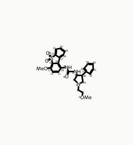 COCCN1CC(NC(=O)Nc2ccc(OC)c3c2-c2ccccc2S3(=O)=O)C(c2ccccc2)C1